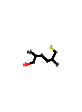 CCC(CS)CCC(C)CO